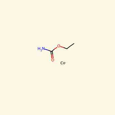 CCOC(N)=O.[Co]